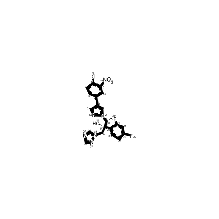 C[C@@H](n1cc(-c2ccc(Cl)c([N+](=O)[O-])c2)cn1)[C@](O)(Cn1cncn1)c1ccc(F)cc1F